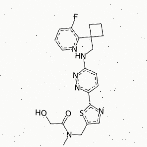 CN(Cc1cnc(-c2ccc(NCC3(c4ncccc4F)CCC3)nn2)s1)C(=O)CO